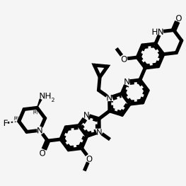 COc1cc2c(cc1-c1ccc3cc(-c4nc5cc(C(=O)N6C[C@H](N)C[C@@H](F)C6)cc(OC)c5n4C)n(CC4CC4)c3n1)CCC(=O)N2